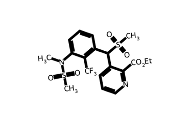 CCOC(=O)c1ncccc1C(c1cccc(N(C)S(C)(=O)=O)c1C(F)(F)F)S(C)(=O)=O